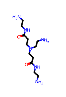 NCCNC(=O)CCN(CCN)CCC(=O)NCCN